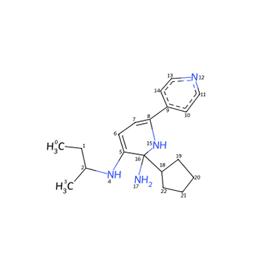 CCC(C)NC1=CC=C(c2ccncc2)NC1(N)C1CCCC1